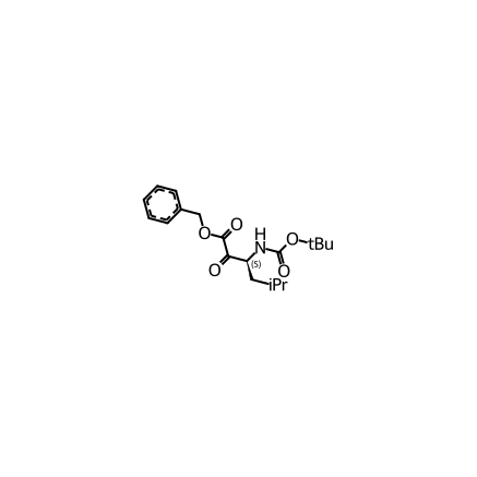 CC(C)C[C@H](NC(=O)OC(C)(C)C)C(=O)C(=O)OCc1ccccc1